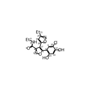 CCNC(=O)c1noc(-c2cc(Cl)c(O)cc2O)c1-c1cc(CC)no1